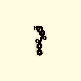 O=C(CCC(=O)N1CCC(c2ccccc2)CC1)c1ccc2c(c1)CCNCC2